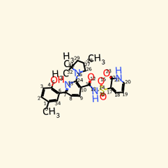 Cc1ccc(O)c(-c2ccc(C(=O)NS(=O)(=O)c3ccc[nH]c3=O)c(N3C[C@@H](C)CC3(C)C)n2)c1